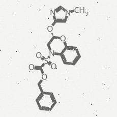 Cn1cnc(O[C@H]2CN(S(=O)(=O)C(=O)OCc3ccccc3)c3ccccc3O2)c1